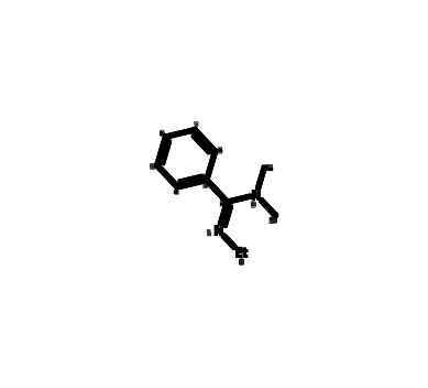 CCN=C(c1ccccc1)N(C)C